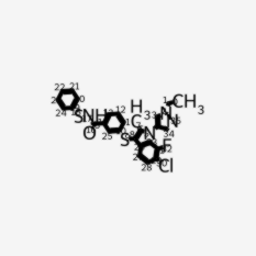 CCn1cc(-n2c(C)c(Sc3cccc(C(=O)NSc4ccccc4)c3)c3ccc(Cl)c(F)c32)cn1